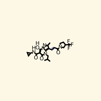 Cc1nn2c(O)c(C(=O)NC3CC3)c(=O)n(CC(C)C)c2c1/C=C/C(=O)N1CCC(C(F)(F)F)C1